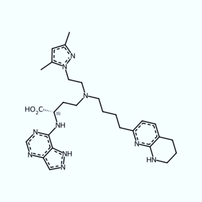 Cc1cc(C)n(CCN(CCCCc2ccc3c(n2)NCCC3)CC[C@H](Nc2ncnc3cn[nH]c23)C(=O)O)n1